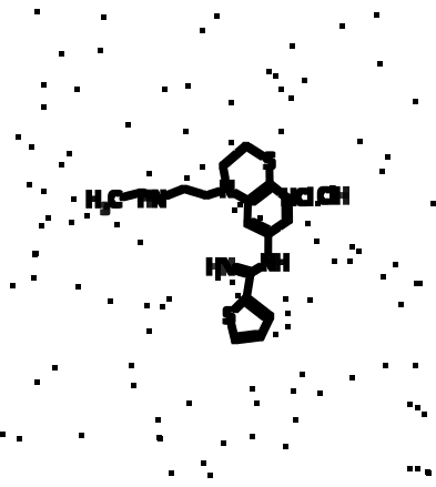 CCNCCN1CCSc2ccc(NC(=N)c3cccs3)cc21.Cl.Cl